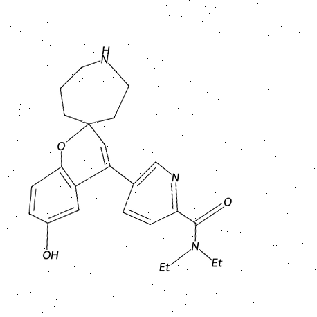 CCN(CC)C(=O)c1ccc(C2=CC3(CCCNCC3)Oc3ccc(O)cc32)cn1